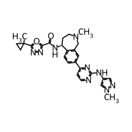 CN1CC[C@H](NC(=O)c2nnc(C3(C)CC3)o2)c2ccc(-c3ccnc(Nc4cnn(C)c4)n3)cc2C1